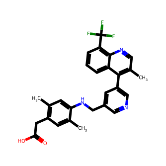 Cc1cc(NCc2cncc(-c3c(C)cnc4c(C(F)(F)F)cccc34)c2)c(C)cc1CC(=O)O